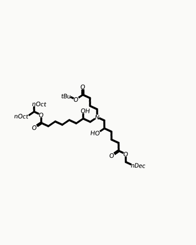 CCCCCCCCCCCOC(=O)CCCC(O)CN(CCCC(=O)OC(C)(C)C)CC(O)CCCCCC(=O)OC(CCCCCCCC)CCCCCCCC